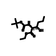 CCC[C@@H](O)[C@H](NC(=O)OC(C)(C)C)C(=O)OCC